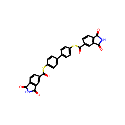 O=C(Sc1ccc(-c2ccc(SC(=O)c3ccc4c(c3)C(=O)NC4=O)cc2)cc1)c1ccc2c(c1)C(=O)NC2=O